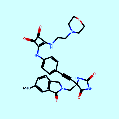 COc1ccc2c(c1)C(=O)N(C[C@@]1(C#Cc3ccc(Nc4c(NCCN5CCOCC5)c(=O)c4=O)cc3)NC(=O)NC1=O)C2